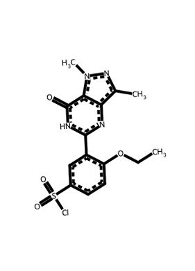 CCOc1ccc(S(=O)(=O)Cl)cc1-c1nc2c(C)nn(C)c2c(=O)[nH]1